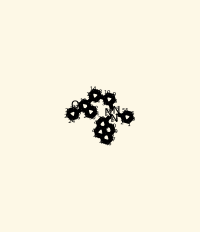 c1ccc(-c2nc(-c3cccc(-c4cccc(-c5cc6oc7ccccc7c6c6ccccc56)c4)c3)nc(-c3ccc4ccc5cccc6ccc3c4c56)n2)cc1